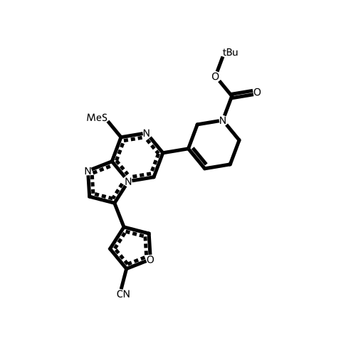 CSc1nc(C2=CCCN(C(=O)OC(C)(C)C)C2)cn2c(-c3coc(C#N)c3)cnc12